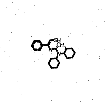 C/C(=N\C(=C/S)c1ccccc1)N(C1CCCCC1)C1CCCCC1